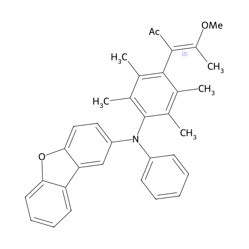 CO/C(C)=C(\C(C)=O)c1c(C)c(C)c(N(c2ccccc2)c2ccc3oc4ccccc4c3c2)c(C)c1C